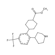 COC(=O)C1CCC(c2cc(C(F)(F)F)ccc2C2CCNCC2)CC1